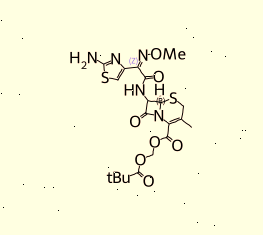 CO/N=C(\C(=O)NC1C(=O)N2C(C(=O)OCOC(=O)C(C)(C)C)=C(C)CS[C@H]12)c1csc(N)n1